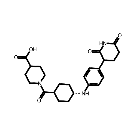 O=C1CCC(c2ccc(N[C@H]3CC[C@H](C(=O)N4CCC(C(=O)O)CC4)CC3)cc2)C(=O)N1